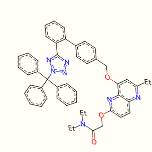 CCc1cc(OCc2ccc(-c3ccccc3-c3nnn(C(c4ccccc4)(c4ccccc4)c4ccccc4)n3)cc2)c2nc(OCC(=O)N(CC)CC)ccc2n1